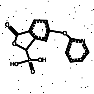 O=C1OC(P(=O)(O)O)c2cc(Oc3ccccn3)ccc21